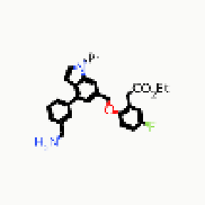 CCOC(=O)Cc1cc(F)ccc1OCc1cc(-c2cccc(CN)c2)c2ccn(C(C)C)c2c1